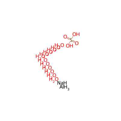 O.O.O.O.O.O.O.O.O.O.O.O.O=S(=O)(O)O.[AlH3].[NaH]